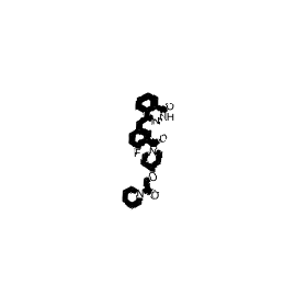 O=C(COC1CCN(C(=O)c2cc(Cc3n[nH]c(=O)c4ccccc34)ccc2F)CC1)N1CCCCC1